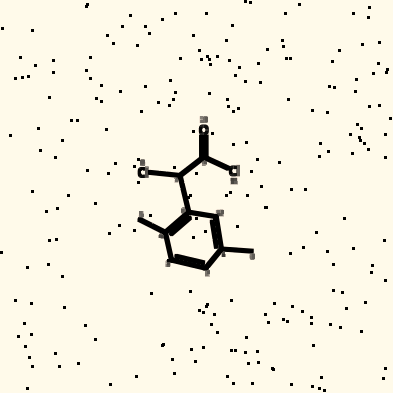 Cc1ccc(C)c(C(Cl)C(=O)Cl)c1